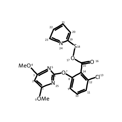 COc1cc(OC)nc(Oc2cccc(Cl)c2C(=O)OSc2ccccn2)n1